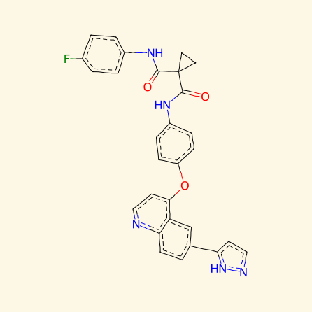 O=C(Nc1ccc(F)cc1)C1(C(=O)Nc2ccc(Oc3ccnc4ccc(-c5ccn[nH]5)cc34)cc2)CC1